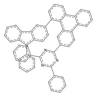 c1ccc(-c2nc(-c3ccccc3)nc(-c3ccc4c5ccccc5c5cccc(-c6ccc7c(c6)c6ccccc6n7-c6ccccc6)c5c4c3)n2)cc1